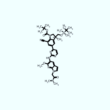 COc1nc2c(ccn2CC(=O)N(C)C)cc1Nc1nccc(-c2cc(C#N)c3c(c2)[C@@](C)(CO[Si](C)(C)C(C)(C)C)CN3C(=O)OC(C)(C)C)n1